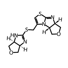 C1=C(CSC2=N[C@H]3COC[C@H]3N2)N2C(=N[C@@H]3COC[C@@H]32)S1